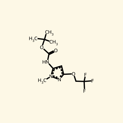 Cn1nc(OCC(F)(F)F)cc1NC(=O)OC(C)(C)C